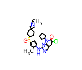 Cc1cc([S+]([O-])C2CCC3(CC2)CN(C)C3)ccc1Nc1ncc2cc(Cl)c(=O)n(C3CCCC3)c2n1